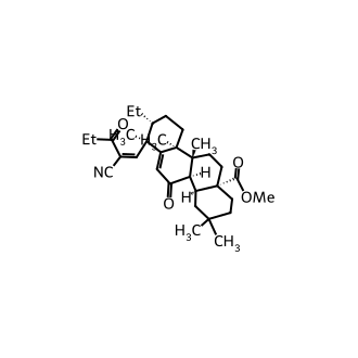 CCC(=O)/C(C#N)=C\[C@]1(C)C2=CC(=O)[C@@H]3[C@@H]4CC(C)(C)CC[C@]4(C(=O)OC)CC[C@@]3(C)[C@]2(C)CC[C@H]1CC